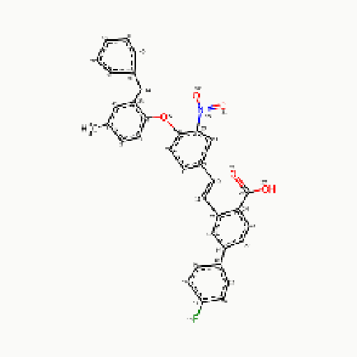 Cc1ccc(Oc2ccc(C=Cc3cc(-c4ccc(F)cc4)ccc3C(=O)O)cc2[N+](=O)[O-])c(Cc2ccccc2)c1